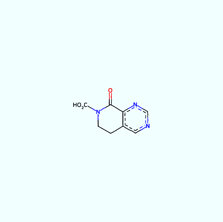 O=C(O)N1CCc2cncnc2C1=O